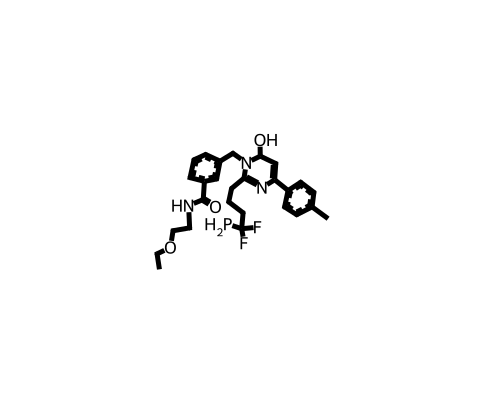 CCOCCNC(=O)c1cccc(CN2C(CCCC(F)(F)P)=NC(c3ccc(C)cc3)=CC2O)c1